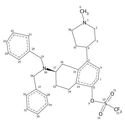 CN1CCC(c2ccc(OS(=O)(=O)C(F)(F)F)c3c2C[C@H](N(Cc2ccccc2)Cc2ccccc2)CC3)CC1